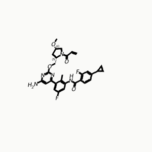 C=CC(=O)N1C[C@@H](OC)C[C@H]1COc1nc(N)cc(-c2cc(F)cc(NC(=O)c3ccc(C4CC4)cc3F)c2C)n1